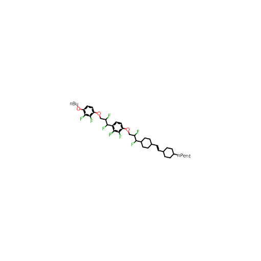 CCCCCC1CCC(/C=C/C2CCC(C(F)C(F)COc3ccc(C(F)C(F)COc4ccc(OCCCC)c(F)c4F)c(F)c3F)CC2)CC1